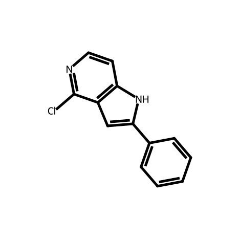 Clc1nccc2[nH]c(-c3ccccc3)cc12